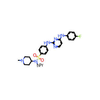 CCCN(C1CCN(C)CC1)S(=O)(=O)c1ccc(Nc2nccc(Nc3ccc(F)cc3)n2)cc1